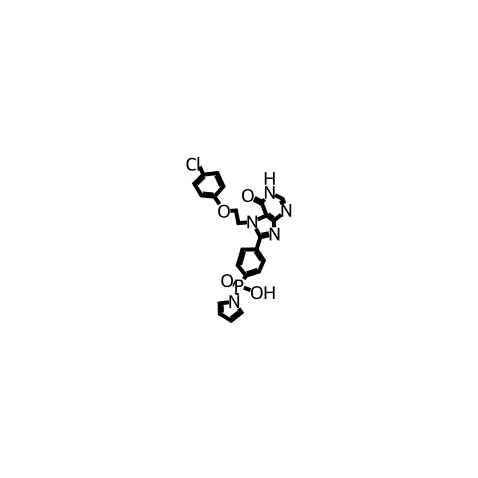 O=c1[nH]cnc2nc(-c3ccc(P(=O)(O)n4cccc4)cc3)n(CCOc3ccc(Cl)cc3)c12